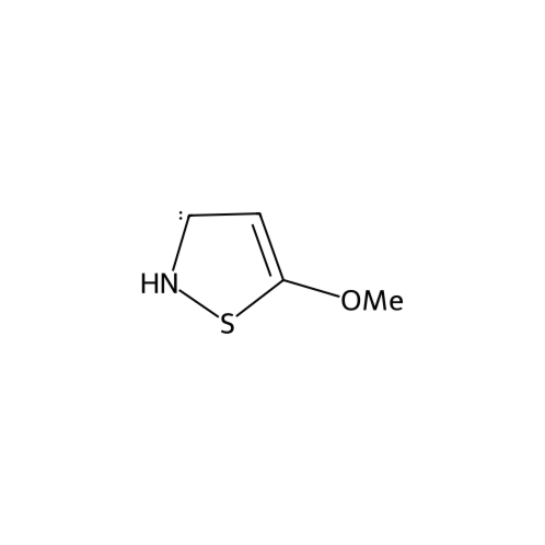 COC1=C[C]NS1